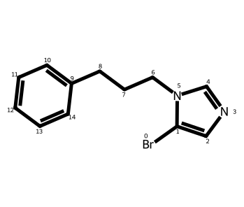 Brc1cncn1CCCc1ccccc1